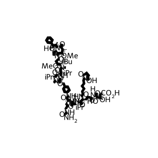 CC[C@H](C)[C@@H]([C@@H](CC(=O)N1CCC[C@H]1[C@H](OC)[C@@H](C)C(=O)N[C@H](C)[C@@H](O)c1ccccc1)OC)N(C)C(=O)[C@@H](NC(=O)[C@H](C(C)C)N(C)C(=O)OCc1ccc(NC(=O)[C@H](CCCNC(N)=O)NC(=O)[C@@H](NC(=O)[C@H](CCC(=O)NC2O[C@H](C(=O)O)[C@@H](O)[C@H]2O)NC(=O)CCCCCN2C(=O)C=CC2O)C(C)C)cc1)C(C)C